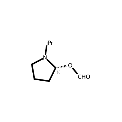 CC(C)N1CCC[C@H]1OC=O